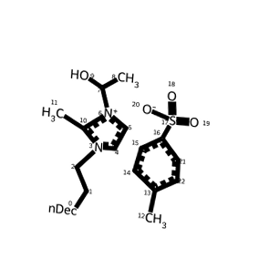 CCCCCCCCCCCCn1cc[n+](C(C)O)c1C.Cc1ccc(S(=O)(=O)[O-])cc1